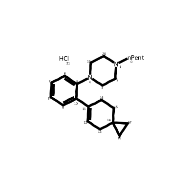 CCCCCN1CCN(c2ccccc2C2=CCC3(CC2)CC3)CC1.Cl